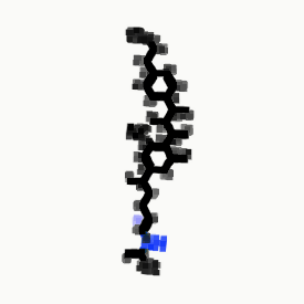 C=C(CC)N/C=C/CCC(C)C1=CC(C#N)=C(C(=C)C(C)C(C)c2ccc(CCC(C)(C)C)cc2)C(=C)C1